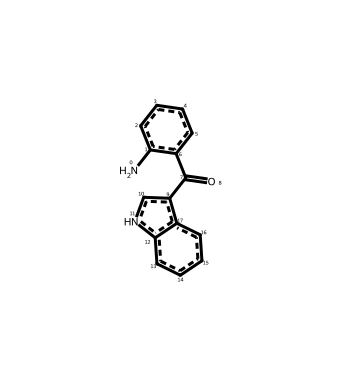 Nc1ccccc1C(=O)c1c[nH]c2ccccc12